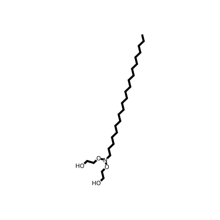 CCCCCCCCCCCCCCCCCCCCCCN(OCCO)OCCO